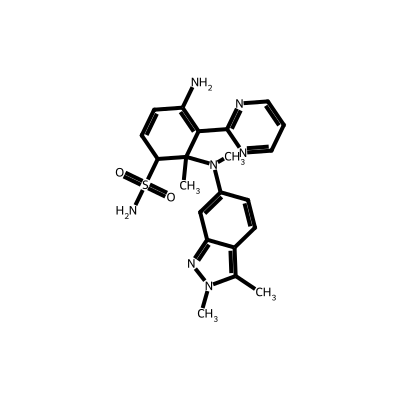 Cc1c2ccc(N(C)C3(C)C(c4ncccn4)=C(N)C=CC3S(N)(=O)=O)cc2nn1C